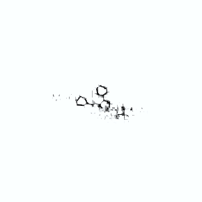 COc1ccc(C(=O)Nc2nc(=O)n([C@@H]3O[C@H](COC(C)=O)[C@H](Br)[C@H]3OC(C)=O)cc2-c2ccccc2)cc1